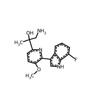 COc1ccc(C(C)(O)CN)nc1-c1c[nH]c2c(F)cccc12